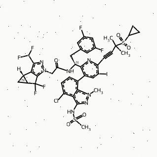 Cn1nc(NS(C)(=O)=O)c2c(Cl)ccc(-c3cc(I)c(C#CC(C)(C)S(=O)(=O)C4CC4)nc3[C@H](Cc3cc(F)cc(F)c3)NC(=O)Cn3nc(C(F)F)c4c3C(F)(F)C3C[C@H]43)c21